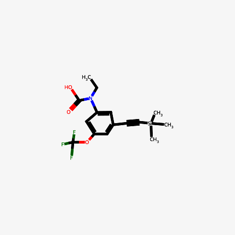 CCN(C(=O)O)c1cc(C#C[Si](C)(C)C)cc(OC(F)(F)F)c1